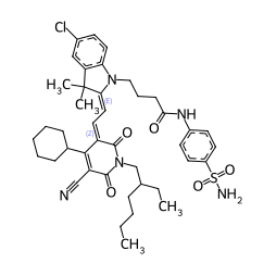 CCCCC(CC)CN1C(=O)C(C#N)=C(C2CCCCC2)/C(=C/C=C2/N(CCCC(=O)Nc3ccc(S(N)(=O)=O)cc3)c3ccc(Cl)cc3C2(C)C)C1=O